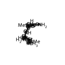 CC[C@@H](C[C@@H](O)n1cc(C#CCNC(=O)CCCCOC(=O)c2ccc(NC(=O)COCCOCCN)cc2C(C)SSC)c2c(=O)[nH]c(N)nc21)OC(=O)c1ccccc1C(C)SSC